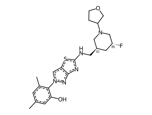 Cc1cc(C)c(-n2cc3sc(NC[C@@H]4C[C@@H](F)CN(C5CCOC5)C4)nc3n2)c(O)c1